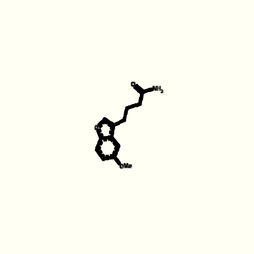 COc1ccc2occ(CCCC(N)=O)c2c1